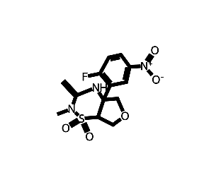 C=C1NC2(c3cc([N+](=O)[O-])ccc3F)COCC2S(=O)(=O)N1C